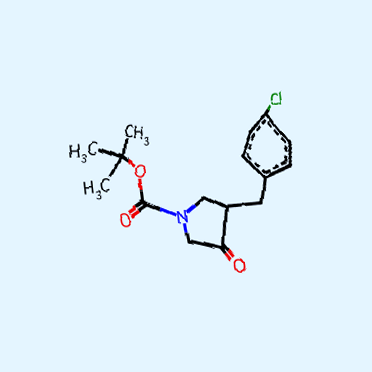 CC(C)(C)OC(=O)N1CC(=O)C(Cc2ccc(Cl)cc2)C1